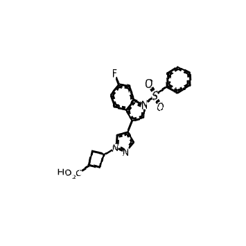 O=C(O)C1CC(n2cc(-c3cn(S(=O)(=O)c4ccccc4)c4cc(F)ccc34)cn2)C1